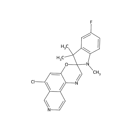 CN1c2ccc(F)cc2C(C)(C)C12C=Nc1c(cc(Cl)c3cnccc13)O2